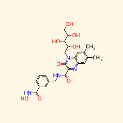 Cc1cc2nc(C(=O)NCc3cccc(C(=O)NO)c3)c(=O)n(CC(O)C(O)C(O)CO)c2cc1C